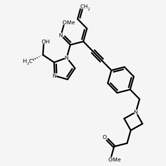 C=C/C=C(C#Cc1ccc(CN2CC(CC(=O)OC)C2)cc1)\C(=N/OC)n1ccnc1[C@H](C)O